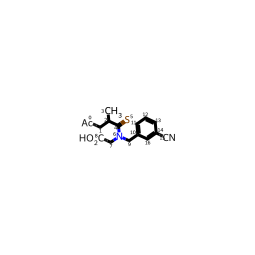 CC(=O)CC(C)C(=S)N(CC(=O)O)Cc1cccc(C#N)c1